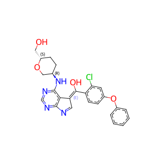 OC[C@@H]1CC[C@@H](Nc2ncnc3c2/C(=C(\O)c2ccc(Oc4ccccc4)cc2Cl)C=N3)CO1